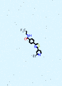 CCc1cc(-c2nc(-c3ccc(C(=O)NCCC(F)(F)F)cc3)cs2)ccn1